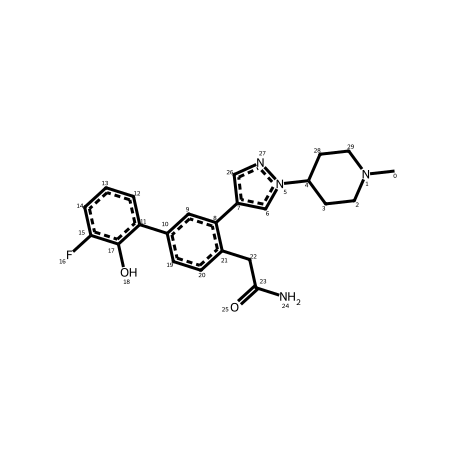 CN1CCC(n2cc(-c3cc(-c4cccc(F)c4O)ccc3CC(N)=O)cn2)CC1